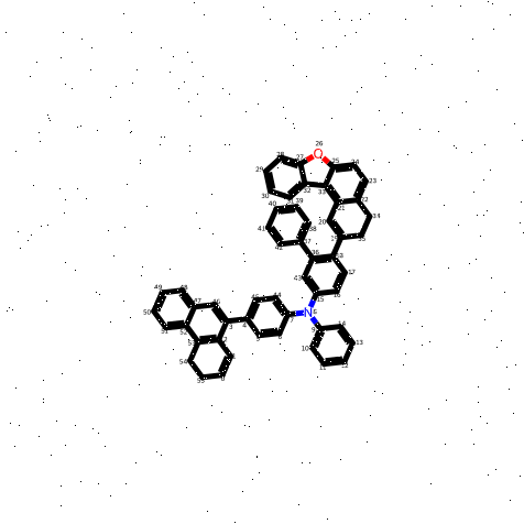 C1=Cc2c(-c3ccc(N(c4ccccc4)c4ccc(C5=Cc6c(ccc7oc8ccccc8c67)CC5)c(-c5ccccc5)c4)cc3)cc3ccccc3c2CC1